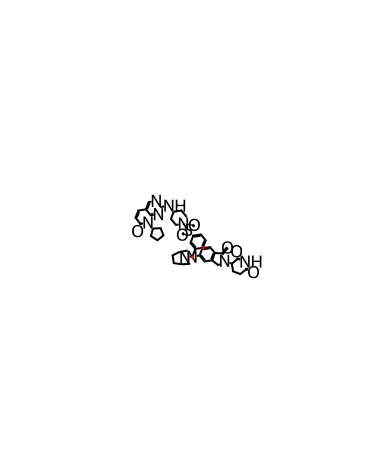 O=C1CCC(N2Cc3cc(N4CC5CCC(C4)N5Cc4cccc(S(=O)(=O)N5CCC(Nc6ncc7ccc(=O)n(C8CCCC8)c7n6)CC5)c4)ccc3C2=O)C(=O)N1